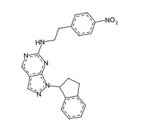 O=[N+]([O-])c1ccc(CCNc2ncc3cnn(C4CCc5ccccc54)c3n2)cc1